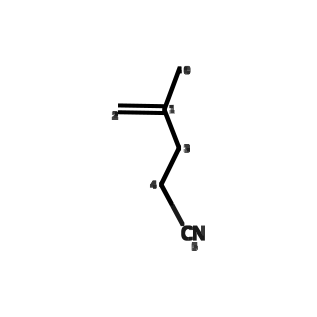 [CH2]C(=C)CCC#N